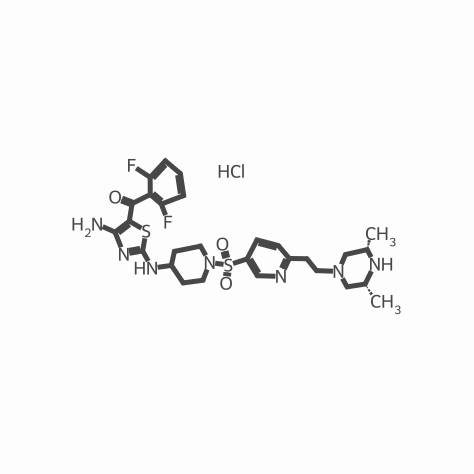 C[C@@H]1CN(CCc2ccc(S(=O)(=O)N3CCC(Nc4nc(N)c(C(=O)c5c(F)cccc5F)s4)CC3)cn2)C[C@H](C)N1.Cl